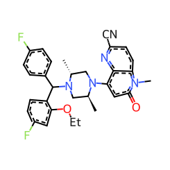 CCOc1cc(F)ccc1C(c1ccc(F)cc1)N1C[C@H](C)N(c2cc(=O)n(C)c3ccc(C#N)nc23)C[C@H]1C